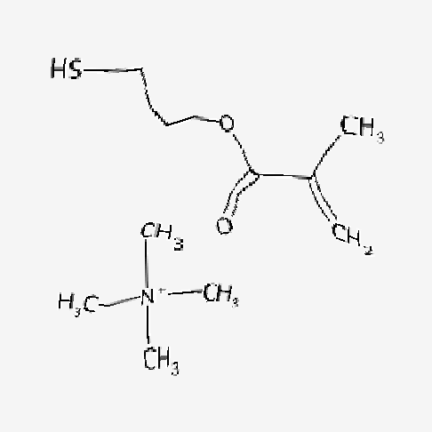 C=C(C)C(=O)OCCS.C[N+](C)(C)C